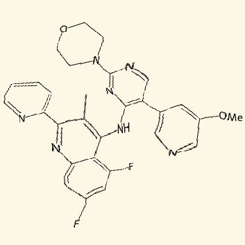 COc1cncc(-c2cnc(N3CCOCC3)nc2Nc2c(C)c(-c3ccccn3)nc3cc(F)cc(F)c23)c1